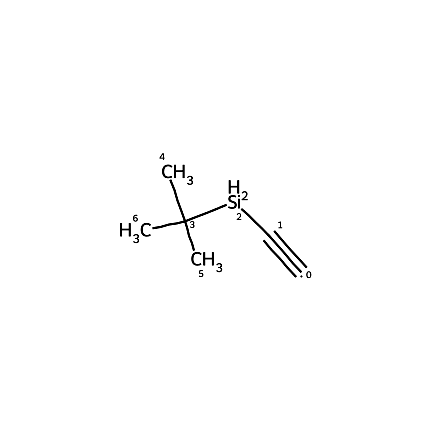 [C]#C[SiH2]C(C)(C)C